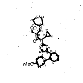 COc1ccc(-c2ccccc2-c2csc(N(C(=O)[C@@H](CC(=O)O)CC3CCOCC3)C3CC3)n2)cn1